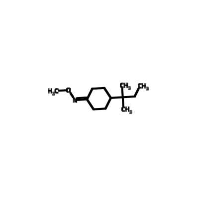 CCC(C)(C)C1CCC(=NOC)CC1